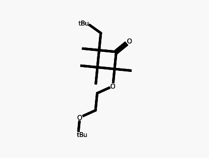 CC(C)(C)CC1(C)C(=O)C(C)(OCCOC(C)(C)C)C1(C)C